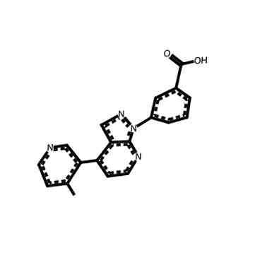 Cc1ccncc1-c1ccnc2c1cnn2-c1cccc(C(=O)O)c1